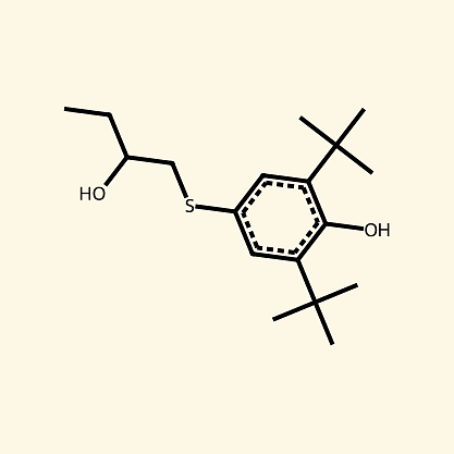 CCC(O)CSc1cc(C(C)(C)C)c(O)c(C(C)(C)C)c1